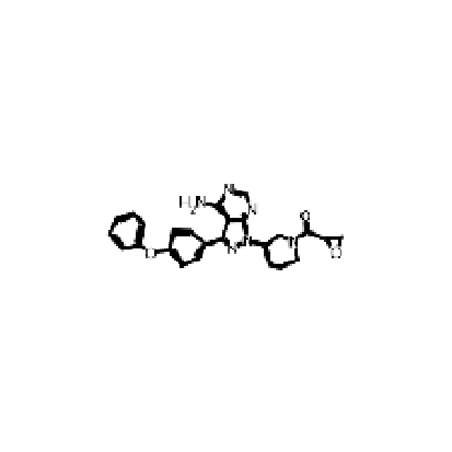 Nc1ncnc2c1c(-c1ccc(Oc3ccccc3)cc1)nn2C1CCCN(C(=O)C2CO2)C1